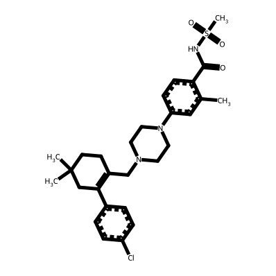 Cc1cc(N2CCN(CC3=C(c4ccc(Cl)cc4)CC(C)(C)CC3)CC2)ccc1C(=O)NS(C)(=O)=O